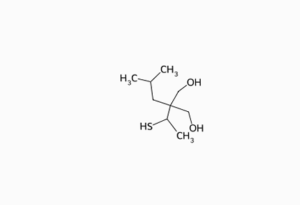 CC(C)CC(CO)(CO)C(C)S